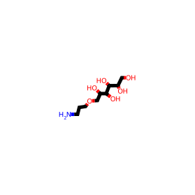 NCCCOCC(O)C(O)C(O)C(O)CO